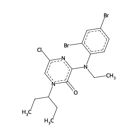 CCC(CC)n1cc(Cl)nc(N(CC)c2ccc(Br)cc2Br)c1=O